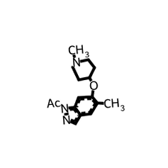 CC(=O)n1ncc2cc(C)c(OC3CCN(C)CC3)cc21